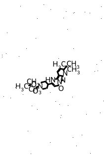 CC(C)(C)OC(=O)N1CCC(c2cc(=O)n3nc4nc(C(C)(C)C)ccc4c3[nH]2)CC1